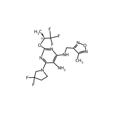 Cc1nonc1CNc1nc(O[C@@H](C)C(F)(F)F)nc(N2CCC(F)(F)C2)c1N